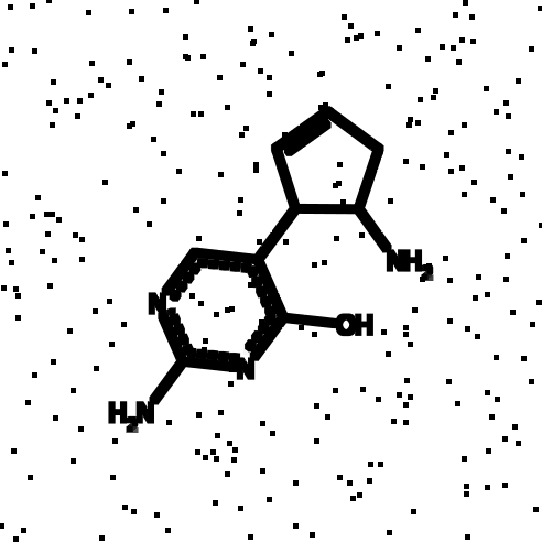 Nc1ncc(C2C=CCC2N)c(O)n1